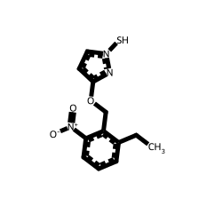 CCc1cccc([N+](=O)[O-])c1COc1ccn(S)n1